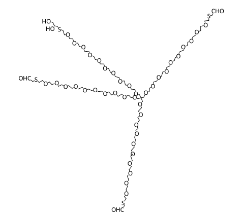 O=CCSCCOCCOCCOCCOCCOCCOCCOCCOCCOCCOCC(COCCOCCOCCOCCOCCOCCOCCOCCOCCOCCSCC=O)(COCCOCCOCCOCCOCCOCCOCCOCCOCCOCCSCC=O)COCCOCCOCCOCCOCCOCCOCCOCCOCCOCCSCC(O)CO